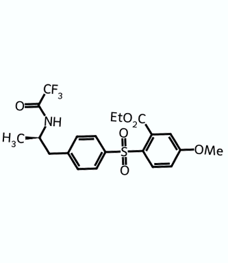 CCOC(=O)c1cc(OC)ccc1S(=O)(=O)c1ccc(C[C@@H](C)NC(=O)C(F)(F)F)cc1